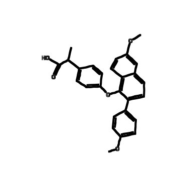 COc1ccc(-c2ccc3cc(OC)ccc3c2Oc2ccc(C(C)C(=O)O)cc2)cc1